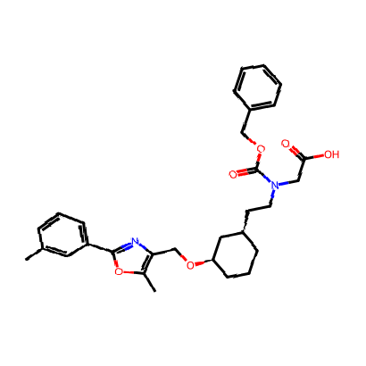 Cc1cccc(-c2nc(CO[C@@H]3CCC[C@H](CCN(CC(=O)O)C(=O)OCc4ccccc4)C3)c(C)o2)c1